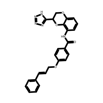 O=C(Nc1cccc2c1OC(c1nnn[nH]1)CO2)c1ccc(OC/C=C/c2ccccc2)cc1